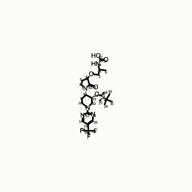 CC(COC1CCN([C@H]2CCN(c3ncc(C(F)(F)F)cn3)C[C@H]2O[Si](C)(C)C(C)(C)C)C1=O)NC(=O)O